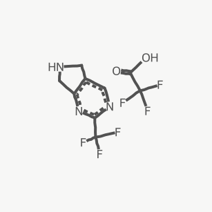 FC(F)(F)c1ncc2c(n1)CNC2.O=C(O)C(F)(F)F